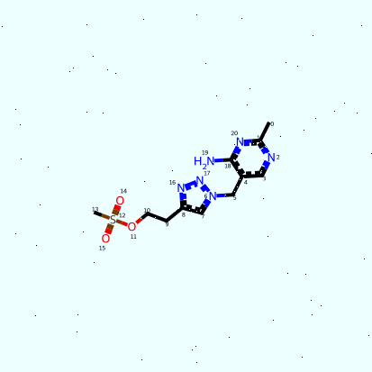 Cc1ncc(Cn2cc(CCOS(C)(=O)=O)nn2)c(N)n1